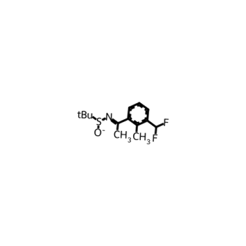 C/C(=N\[S+]([O-])C(C)(C)C)c1cccc(C(F)F)c1C